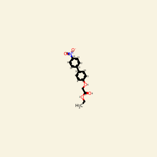 CCOC(=O)COc1ccc(-c2ccc([N+](=O)[O-])cc2)cc1